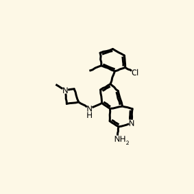 Cc1cccc(Cl)c1-c1cc(NC2CN(C)C2)c2cc(N)ncc2c1